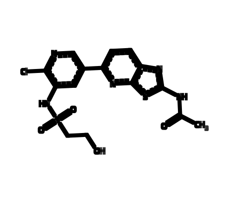 CC(=O)Nc1nc2ccc(-c3cnc(Cl)c(NS(=O)(=O)CCO)c3)nc2s1